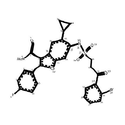 CNC(=O)c1c(-c2ccc(F)cc2)oc2cc(NS(=O)(=O)CCC(=O)c3ccccc3Br)c(C3CC3)cc12